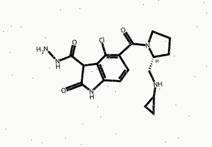 NNC(=O)C1C(=O)Nc2ccc(C(=O)N3CCC[C@@H]3CNC3CC3)c(Cl)c21